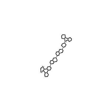 c1ccc2c(c1)c1ccc(-c3ccc4cc(-c5ccc6cc(-c7ccc(-n8c9ccccc9c9ccccc98)cc7)ccc6c5)ccc4c3)cc1c1nccnc21